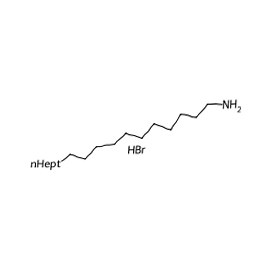 Br.CCCCCCCCCCCCCCCCCCN